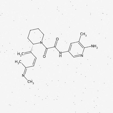 C=C(/C=C\C(C)=N/C)[C@@H]1CCCCN1C(=O)C(=O)Nc1cnc(N)c(C)c1